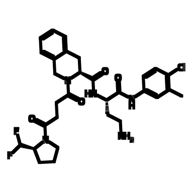 Cc1cc(NC(=O)[C@H](CCN)NC(=O)[C@@H]2Cc3ccccc3CN2C(=O)CCC(=O)N2CCC[C@H]2C(F)F)ccc1Cl